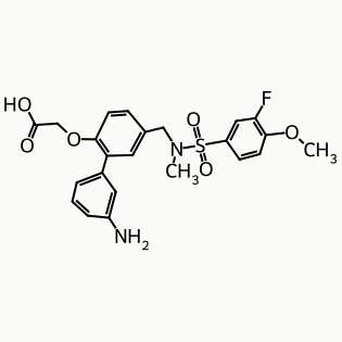 COc1ccc(S(=O)(=O)N(C)Cc2ccc(OCC(=O)O)c(-c3cccc(N)c3)c2)cc1F